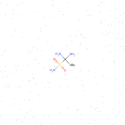 CCCCC(N)(N)S(N)(=O)=O